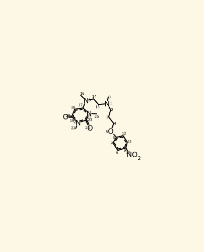 CN(CCCOc1ccc([N+](=O)[O-])cc1)CCN(C)c1cc(=O)n(C)c(=O)n1C